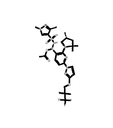 CC(=O)OB(NS(=O)(=O)c1cn(C)nc1C)c1ccc(-n2ccc(OCC(C)(C)C(F)(F)F)n2)nc1N1C[C@@H](C)CC1(C)C